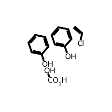 C=CCl.O=C(O)O.Oc1ccccc1.Oc1ccccc1